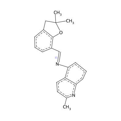 Cc1ccc2c(/N=C/c3cccc4c3OC(C)(C)C4)cccc2n1